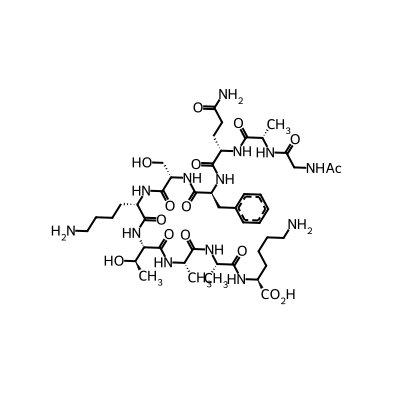 CC(=O)NCC(=O)N[C@@H](C)C(=O)N[C@@H](CCC(N)=O)C(=O)N[C@@H](Cc1ccccc1)C(=O)N[C@@H](CO)C(=O)N[C@@H](CCCCN)C(=O)N[C@H](C(=O)N[C@@H](C)C(=O)N[C@@H](C)C(=O)N[C@@H](CCCCN)C(=O)O)[C@@H](C)O